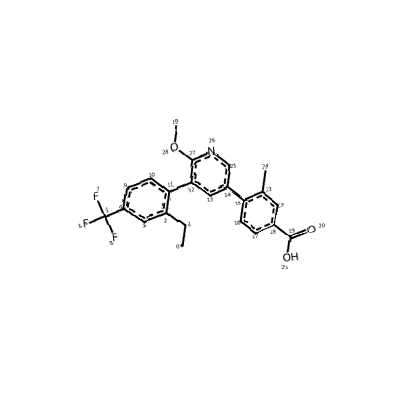 CCc1cc(C(F)(F)F)ccc1-c1cc(-c2ccc(C(=O)O)cc2C)cnc1OC